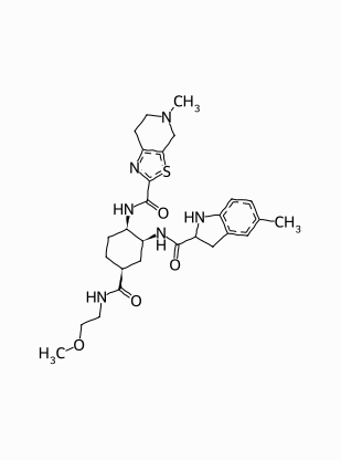 COCCNC(=O)[C@H]1CC[C@@H](NC(=O)c2nc3c(s2)CN(C)CC3)[C@@H](NC(=O)C2Cc3cc(C)ccc3N2)C1